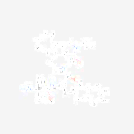 CN1CC(c2ccccc2)C2(CCCN(C(=O)[C@@H](CC3Cc4ccccc4C3)NC(=O)C(C)(C)N)C2)C1=O